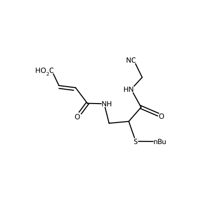 CCCCSC(CNC(=O)C=CC(=O)O)C(=O)NCC#N